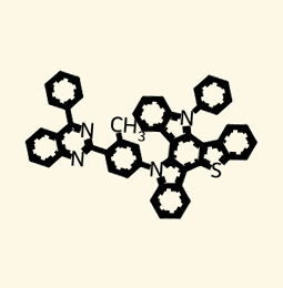 Cc1cc(-n2c3ccccc3c3c4sc5ccccc5c4c4c(c5ccccc5n4-c4ccccc4)c32)ccc1-c1nc(-c2ccccc2)c2ccccc2n1